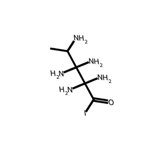 CC(N)C(N)(N)C(N)(N)C(=O)I